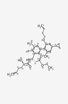 C=CCCOc1cc(C2CC2)cc(C)c1-c1cc(C)c(F)c([C@H](CC(=O)OCC)NC(=O)[C@H](O)CCC=C)c1